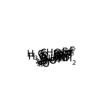 CC(C)(C)OC(=O)N[C@@H](CCOc1cc(F)c(-n2c(N)c(C(=O)c3ccc(F)cc3F)ccc2=O)c(F)c1)C(=O)OC1CCCC1